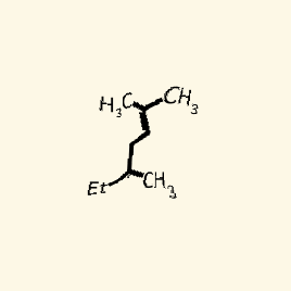 CC[C](C)CC=C(C)C